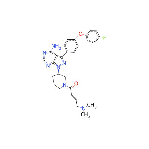 CN(C)C/C=C/C(=O)N1CCC[C@@H](n2nc(-c3ccc(Oc4ccc(F)cc4)cc3)c3c(N)ncnc32)C1